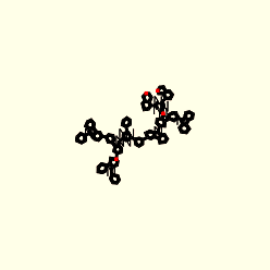 c1ccc(-c2nc(-c3cccc(-c4ccc5c(c4)c4ccccc4n5-c4ccc5c(c4)c4cc(-n6c7ccccc7c7ccccc76)ccc4n5-c4nc(-c5cccc6ccccc56)nc(-c5cccc6ccccc56)n4)c3)nc(-n3c4ccc(-c5ccc6c(c5)c5ccccc5n6-c5ccccc5)cc4c4cc(-c5ccc6c(c5)c5ccccc5n6-c5ccccc5)ccc43)n2)cc1